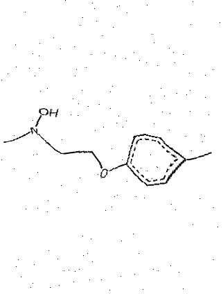 Cc1ccc(OCCN(C)O)cc1